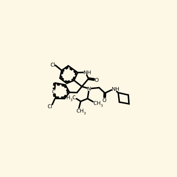 CC(C)C(C)N(CC(=O)NC1CCC1)C1(Cc2cccc(Cl)c2)C(=O)Nc2cc(Cl)ccc21